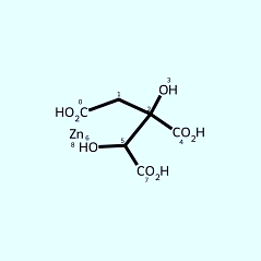 O=C(O)CC(O)(C(=O)O)C(O)C(=O)O.[Zn]